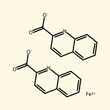 O=C([O-])c1ccc2ccccc2n1.O=C([O-])c1ccc2ccccc2n1.[Fe+2]